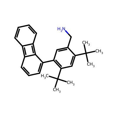 CC(C)(C)c1cc(C(C)(C)C)c(-c2cccc3c2=c2ccccc2=3)cc1CN